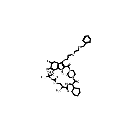 CC(CNC(=O)OC(C)(C)C)C(=O)NC(C(=O)N1CCN(C(=O)c2c(OCCOCCOCc3ccccc3)c3cc(F)c(F)cc3n2C)CC1)C1CCCCC1